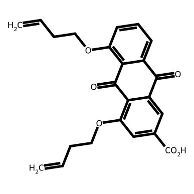 C=CCCOc1cccc2c1C(=O)c1c(OCCC=C)cc(C(=O)O)cc1C2=O